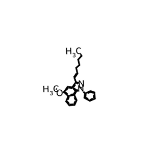 CCCCCC=Cc1nn(-c2ccccc2)c2c1cc(OC)c1ccccc12